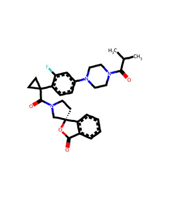 CC(C)C(=O)N1CCN(c2ccc(C3(C(=O)N4CC[C@@]5(C4)OC(=O)c4ccccc45)CC3)c(F)c2)CC1